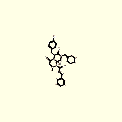 CN1CC(=O)N2[C@@H](Cc3ccc(O)cc3)C(=O)N(CC3CCCCC3)C[C@@H]2N1C(=O)NCc1ccccc1